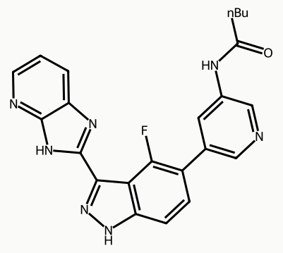 CCCCC(=O)Nc1cncc(-c2ccc3[nH]nc(-c4nc5cccnc5[nH]4)c3c2F)c1